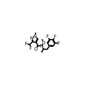 CON(C(=O)c1cn(C)nc1C(F)F)C(C)Cc1cc(F)c(F)c(F)c1